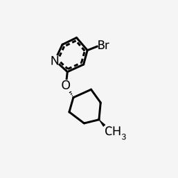 C[C@H]1CC[C@H](Oc2cc(Br)ccn2)CC1